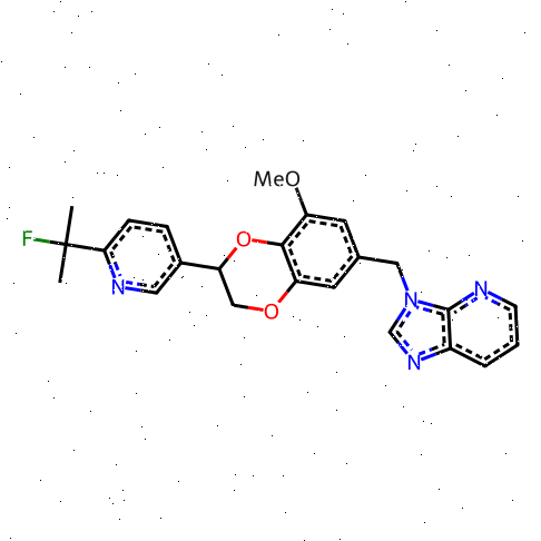 COc1cc(Cn2cnc3cccnc32)cc2c1OC(c1ccc(C(C)(C)F)nc1)CO2